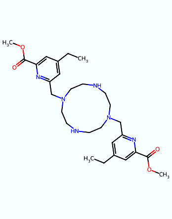 CCc1cc(CN2CCNCCN(Cc3cc(CC)cc(C(=O)OC)n3)CCNCC2)nc(C(=O)OC)c1